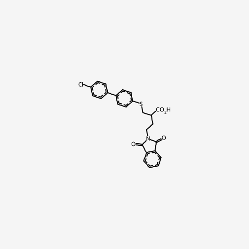 O=C(O)C(CCN1C(=O)c2ccccc2C1=O)CSc1ccc(-c2ccc(Cl)cc2)cc1